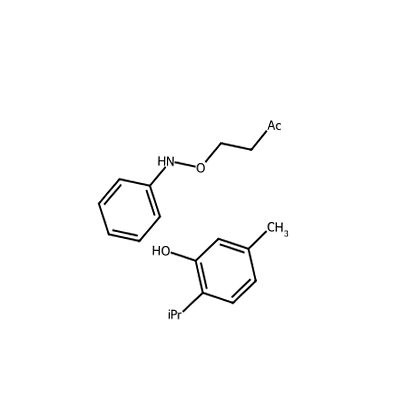 CC(=O)CCONc1ccccc1.Cc1ccc(C(C)C)c(O)c1